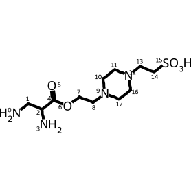 NCC(N)C(=O)OCCN1CCN(CCS(=O)(=O)O)CC1